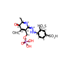 CC1=N/C(=N/Nc2ccc(S(=O)(=O)O)cc2S(=O)(=O)O)C(COP(=O)(O)O)=C(C=O)C1=O